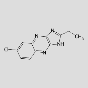 CCc1nc2nc3cc(Cl)ccc3nc2[nH]1